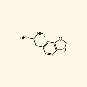 CCCC(N)Cc1ccc2c(c1)OCO2